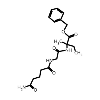 CCC(C)(NC(=O)CNC(=O)CCCC(N)=O)C(=O)OCc1ccccc1